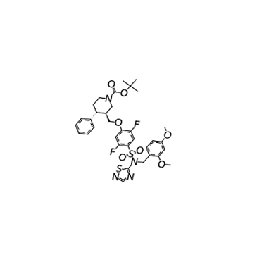 COc1ccc(CN(c2ncns2)S(=O)(=O)c2cc(F)c(OC[C@@H]3CN(C(=O)OC(C)(C)C)CC[C@H]3c3ccccc3)cc2F)c(OC)c1